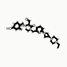 CCN1CCN(C2CN(c3cccc(CN(CC)C(=O)C(C=O)NCc4ccc(O)cc4F)n3)C2)CC1